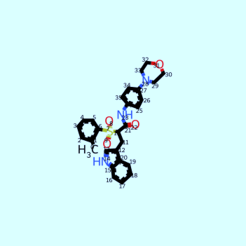 Cc1ccccc1S(=O)(=O)C(Cc1c[nH]c2ccccc12)C(=O)Nc1ccc(N2CCOCC2)cc1